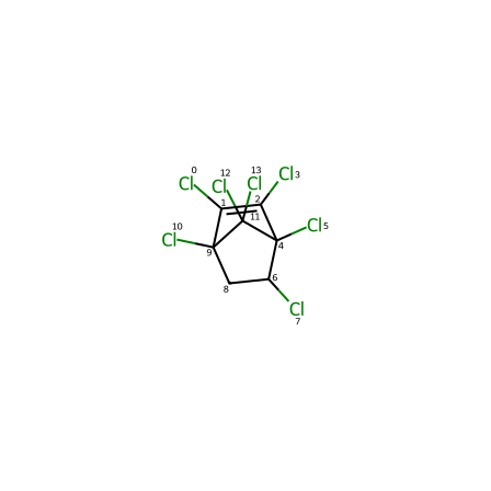 ClC1=C(Cl)C2(Cl)C(Cl)CC1(Cl)C2(Cl)Cl